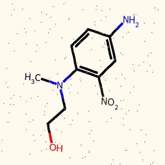 CN(CCO)c1ccc(N)cc1[N+](=O)[O-]